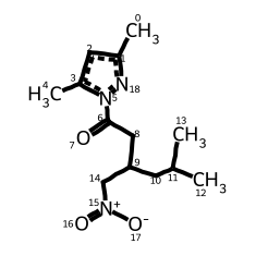 Cc1cc(C)n(C(=O)CC(CC(C)C)C[N+](=O)[O-])n1